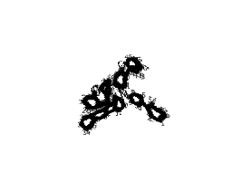 c1ccc(-c2ccc(N(c3ccc4c(c3)C3(c5ccccc5Oc5ccccc53)c3cc5ccccc5cc3-4)c3ccc4oc5ccccc5c4c3)cc2)cc1